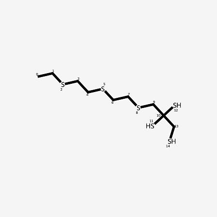 CCSCCSCCSCC(S)(S)CS